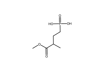 COC(=O)C(C)CCP(=O)(O)O